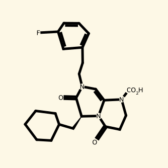 O=C1[C@H](CC2CCCCC2)N2C(=O)CCN(C(=O)O)C2=CN1CCc1cccc(F)c1